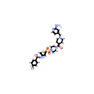 Nc1cc(CN2CCC(C(=O)N3CCN(S(=O)(=O)c4cc(NC(=O)c5ccc(Cl)cc5)cs4)CC3)CC2)ccn1